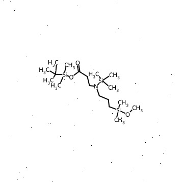 CO[Si](C)(C)CCCN(CCC(=O)O[Si](C)(C)C(C)(C)C)[Si](C)(C)C